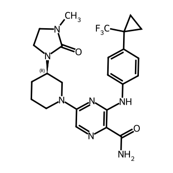 CN1CCN([C@@H]2CCCN(c3cnc(C(N)=O)c(Nc4ccc(C5(C(F)(F)F)CC5)cc4)n3)C2)C1=O